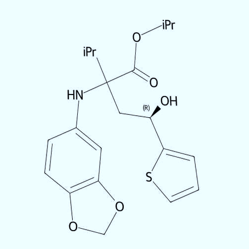 CC(C)OC(=O)C(C[C@@H](O)c1cccs1)(Nc1ccc2c(c1)OCO2)C(C)C